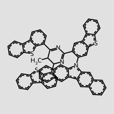 CC1C(c2cccc3c2sc2ccccc23)=NC(c2cc3c(cc2-n2c4cc5ccccc5cc4c4cc5ccccc5cc42)sc2ccccc23)=NC1c1cccc2c1sc1ccccc12